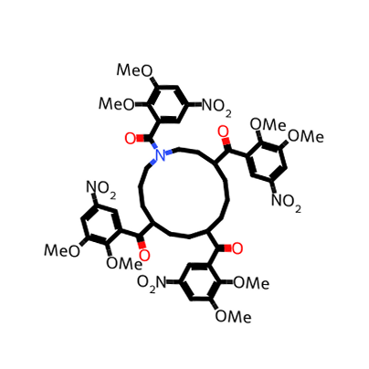 COc1cc([N+](=O)[O-])cc(C(=O)C2CCCC(C(=O)c3cc([N+](=O)[O-])cc(OC)c3OC)CCN(C(=O)c3cc([N+](=O)[O-])cc(OC)c3OC)CCCC(C(=O)c3cc([N+](=O)[O-])cc(OC)c3OC)CC2)c1OC